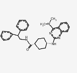 CN(C)c1nc(N[C@H]2CC[C@@H](C(=O)NCC(c3ccccc3)c3ccccc3)CC2)nc2ccccc12